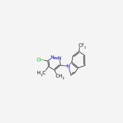 Cc1c(Cl)nnc(-n2ccc3ccc(C(F)(F)F)cc32)c1C